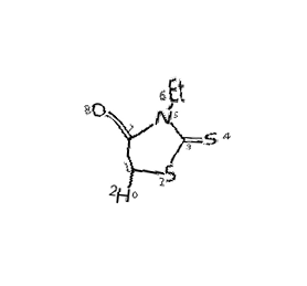 [2H]C1SC(=S)N(CC)C1=O